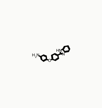 Nc1ccc(Oc2ccc(-c3nc4ccccc4[nH]3)cc2)cc1